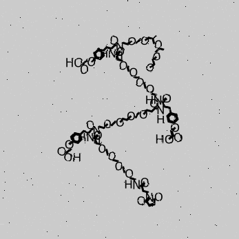 COCCOCC(C)OCC(C)COCCOCCNC(=O)C(Cc1ccc(OCC(=O)O)cc1)NC(=O)CCOCCOCCOCCOCCNC(=O)C(Cc1ccc(OCC(=O)O)cc1)NC(=O)CCOCCOCCOCCOCCNC(=O)C(Cc1ccc(OCC(=O)O)cc1)NC(=O)CCOCCOCCOCCOCCNC(=O)CCN1C(=O)C=CC1=O